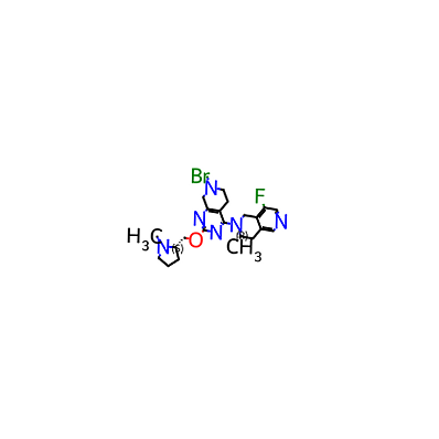 C[C@@H]1Cc2cncc(F)c2CN1c1nc(OC[C@@H]2CCCN2C)nc2c1CCN(Br)C2